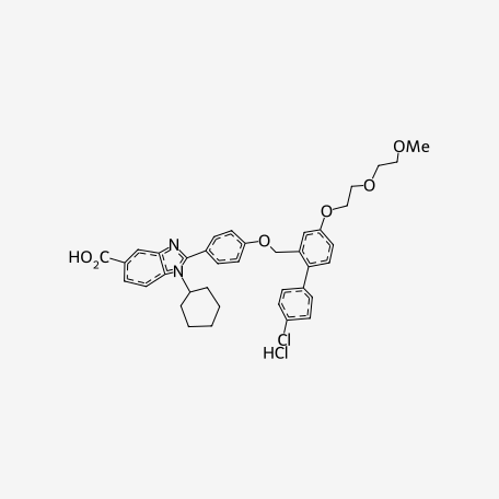 COCCOCCOc1ccc(-c2ccc(Cl)cc2)c(COc2ccc(-c3nc4cc(C(=O)O)ccc4n3C3CCCCC3)cc2)c1.Cl